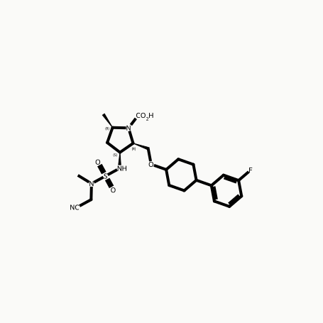 C[C@@H]1C[C@H](NS(=O)(=O)N(C)CC#N)[C@H](COC2CCC(c3cccc(F)c3)CC2)N1C(=O)O